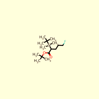 CC(C)(C)OC(=O)C(CCCF)[Si](C)(C)C(C)(C)C